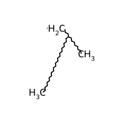 [CH2]CCCC(CCCCCCCC)CCCCCCCCCCCCCCCCCCCCCCC